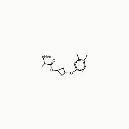 CCCCCCC(C)C(=O)OC1CC(Oc2ccc(F)c(C)c2)C1